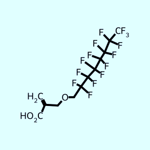 C=C(COCC(F)(F)C(F)(F)C(F)(F)C(F)(F)C(F)(F)C(F)(F)C(F)(F)F)C(=O)O